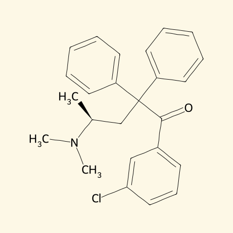 C[C@@H](CC(C(=O)c1cccc(Cl)c1)(c1ccccc1)c1ccccc1)N(C)C